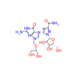 NC(=O)c1ncn([C@@H]2O[C@H](CO)[C@@H](O)[C@H]2O)n1.Nc1nc2c(ncn2COC(CO)CO)c(=O)[nH]1